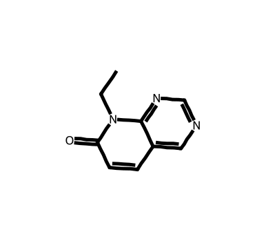 CCn1c(=O)ccc2cncnc21